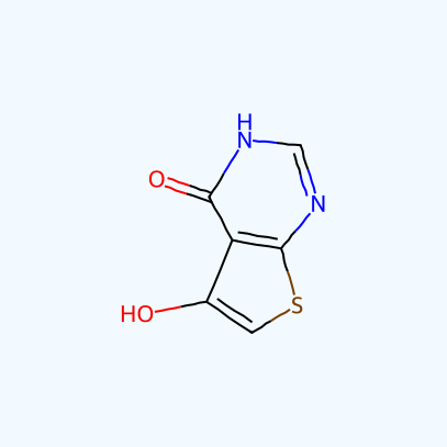 O=c1[nH]cnc2scc(O)c12